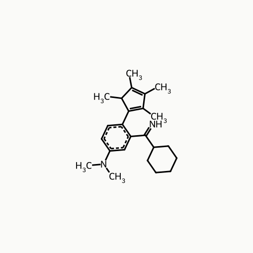 CC1=C(C)C(C)C(c2ccc(N(C)C)cc2C(=N)C2CCCCC2)=C1C